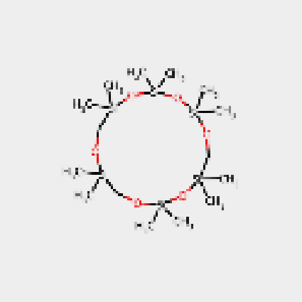 C[Si]1(C)CO[Si](C)(C)O[Si](C)(C)CO[Si](C)(C)O[Si](C)(C)O[Si](C)(C)CO1